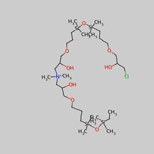 CC[Si](C)(C)O[Si](C)(C)CCCOCC(O)C[N+](C)(C)CC(O)COCCC[Si](C)(C)O[Si](C)(C)CCCOCC(O)CCl